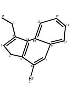 CCC1=CCc2c(Br)cc3ccccc3c21